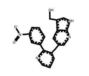 O=[N+]([O-])c1cccc(-c2ncccc2-c2cnc3[nH]cc(CO)c3c2)c1